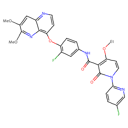 CCOc1ccn(-c2ccc(F)cn2)c(=O)c1C(=O)Nc1ccc(Oc2ccnc3cc(OC)c(OC)nc23)c(F)c1